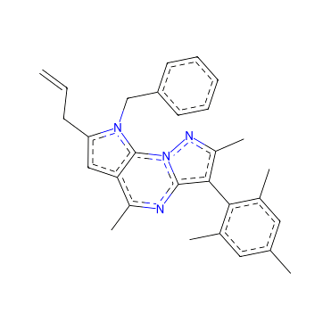 C=CCc1cc2c(C)nc3c(-c4c(C)cc(C)cc4C)c(C)nn3c2n1Cc1ccccc1